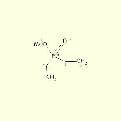 C=CP(=O)(C=C)OC